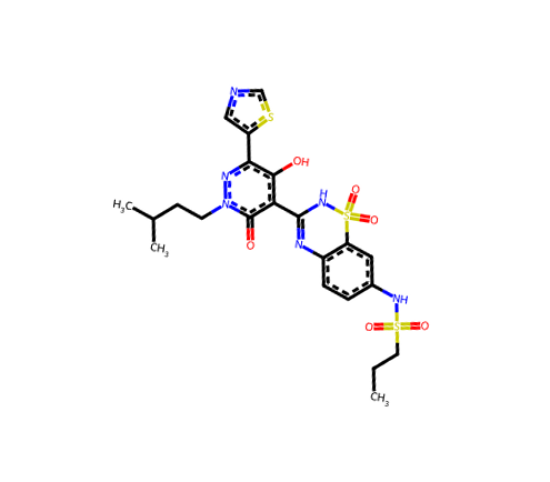 CCCS(=O)(=O)Nc1ccc2c(c1)S(=O)(=O)NC(c1c(O)c(-c3cncs3)nn(CCC(C)C)c1=O)=N2